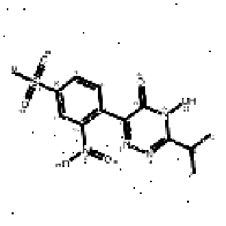 CC(C)c1nnc(-c2ccc(S(C)(=O)=O)cc2[N+](=O)[O-])c(=O)n1O